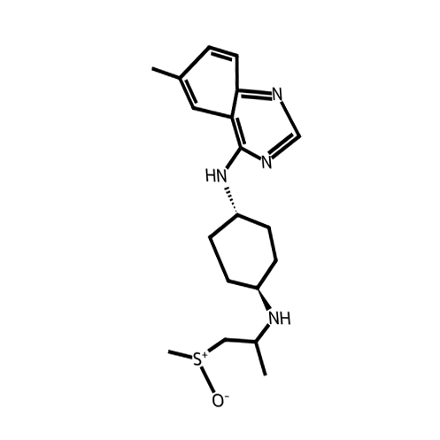 Cc1ccc2ncnc(N[C@H]3CC[C@H](NC(C)C[S+](C)[O-])CC3)c2c1